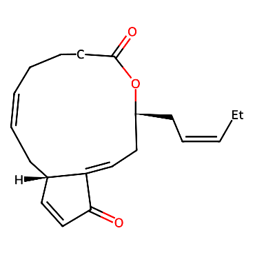 CC/C=C\C[C@H]1C/C=C2/C(=O)C=C[C@@H]2C/C=C\CCCC(=O)O1